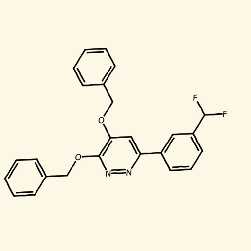 FC(F)c1cccc(-c2cc(OCc3ccccc3)c(OCc3ccccc3)nn2)c1